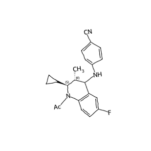 CC(=O)N1c2ccc(F)cc2C(Nc2ccc(C#N)cc2)[C@@H](C)[C@@H]1C1CC1